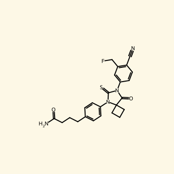 N#Cc1ccc(N2C(=O)C3(CCC3)N(c3ccc(CCCC(N)=O)cc3)C2=S)cc1CF